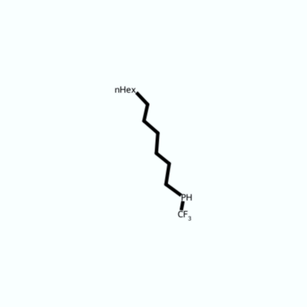 CCCCCCCCCCCCPC(F)(F)F